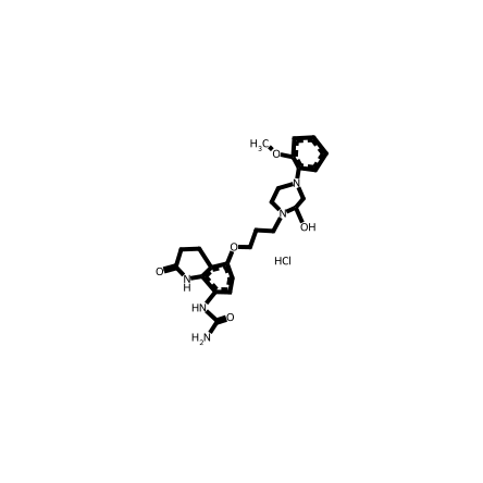 COc1ccccc1N1CCN(CCCOc2ccc(NC(N)=O)c3c2CCC(=O)N3)C(O)C1.Cl